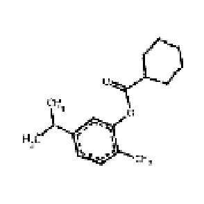 Cc1ccc(C(C)C)cc1OC(=O)C1CCCCC1